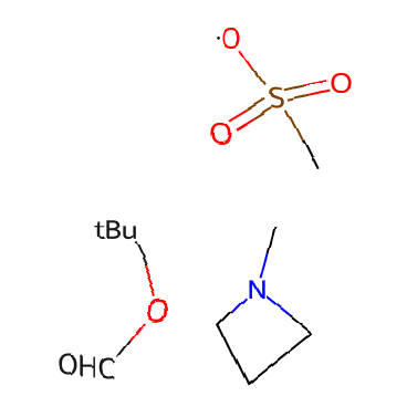 CC(C)(C)OC=O.CN1CCC1.CS([O])(=O)=O